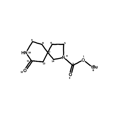 CC(C)(C)OC(=O)N1CCC2(CCNC(=O)C2)C1